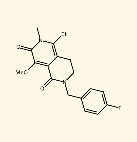 CCc1c2c(c(OC)c(=O)n1C)C(=O)N(Cc1ccc(F)cc1)CC2